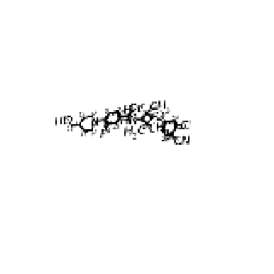 CC1(C)C(NC(=O)c2ccc(N3CCC(CO)CC3)c(F)c2)C(C)(C)C1Oc1ccc(C#N)c(Cl)c1